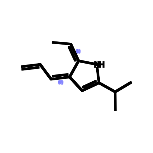 C=C/C=c1/cc(C(C)C)[nH]/c1=C/C